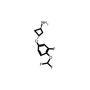 N[C@H]1C[C@H](Oc2ccc(OC(F)F)c(F)c2)C1